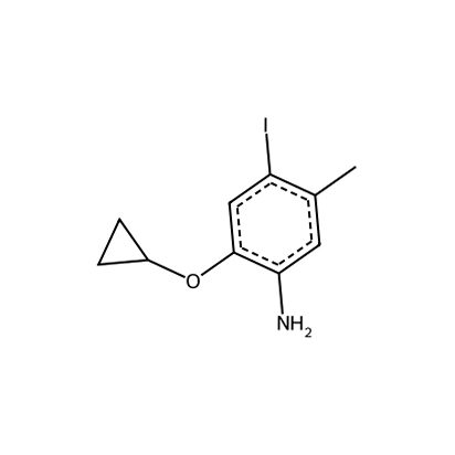 Cc1cc(N)c(OC2CC2)cc1I